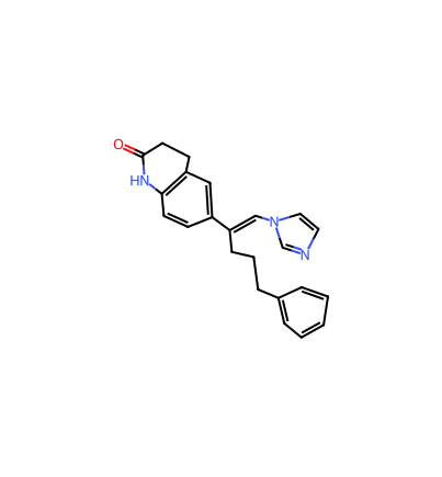 O=C1CCc2cc(C(=Cn3ccnc3)CCCc3ccccc3)ccc2N1